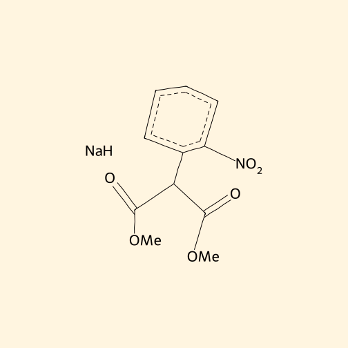 COC(=O)C(C(=O)OC)c1ccccc1[N+](=O)[O-].[NaH]